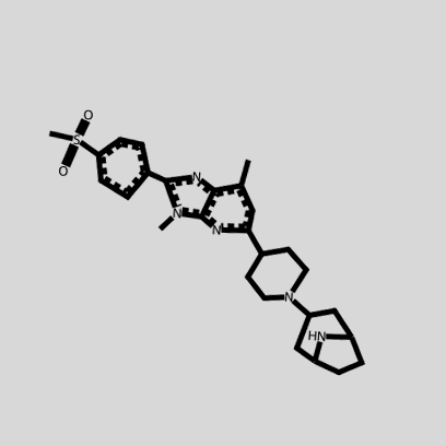 Cc1cc(C2CCN(C3CC4CCC(C3)N4)CC2)nc2c1nc(-c1ccc(S(C)(=O)=O)cc1)n2C